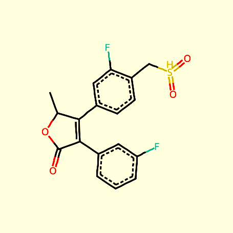 CC1OC(=O)C(c2cccc(F)c2)=C1c1ccc(C[SH](=O)=O)c(F)c1